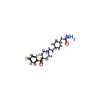 NC(=O)CC1CCC(CCN2CCC(C(=O)c3ccc(F)cc3)CC2)CC1